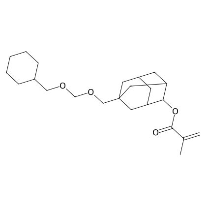 C=C(C)C(=O)OC1C2CC3CC1CC(COCOCC1CCCCC1)(C3)C2